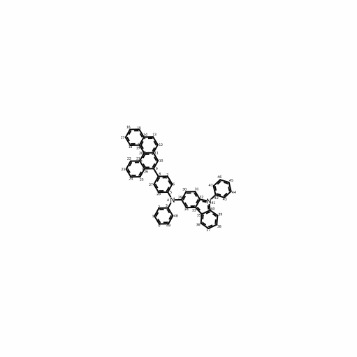 c1ccc(N(c2ccc(-c3cc4ccc5ccccc5c4c4ccccc34)cc2)c2ccc3c(c2)c2ccccc2n3-c2ccccc2)cc1